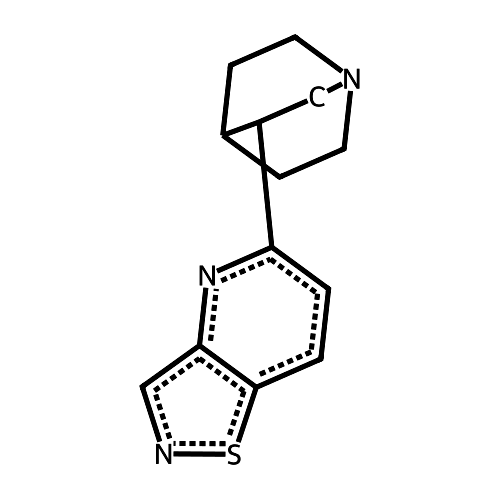 c1cc2sncc2nc1C1CN2CCC1CC2